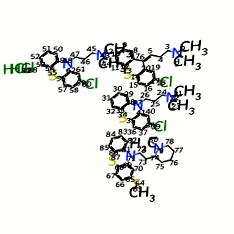 CN(C)CC/C=C1/c2ccccc2Sc2ccc(Cl)cc21.CN(C)CCCN1c2ccccc2Sc2ccc(Cl)cc21.CN(C)CCCN1c2ccccc2Sc2ccc(Cl)cc21.CSc1ccc2c(c1)N(CCC1CCCCN1C)c1ccccc1S2.Cl.Cl